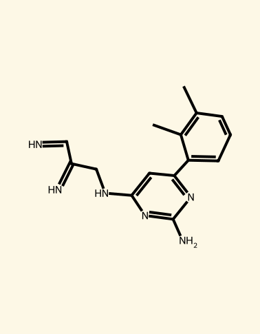 Cc1cccc(-c2cc(NCC(=N)C=N)nc(N)n2)c1C